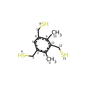 Cc1c(CS)cc(CS)c(C)c1CS